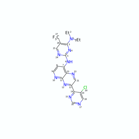 CCN(CC)c1nc(Nc2ccnc3nc(-c4ncncc4Cl)cnc23)ncc1C(F)(F)F